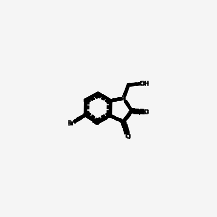 O=C1C(=O)N(CO)c2ccc(Br)cc21